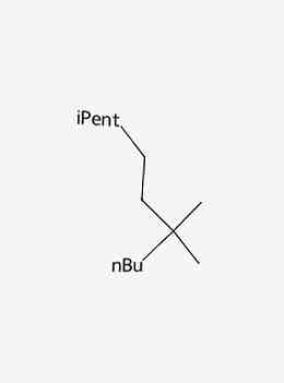 [CH2]CCCC(C)(C)CCC(C)CCC